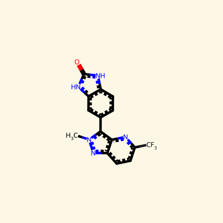 Cn1nc2ccc(C(F)(F)F)nc2c1-c1ccc2[nH]c(=O)[nH]c2c1